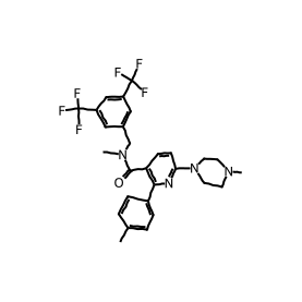 Cc1ccc(-c2nc(N3CCN(C)CC3)ccc2C(=O)N(C)Cc2cc(C(F)(F)F)cc(C(F)(F)F)c2)cc1